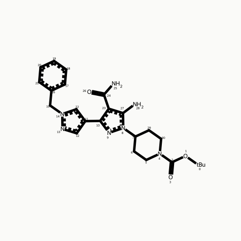 CC(C)(C)OC(=O)N1CCC(n2nc(-c3cnn(Cc4ccccc4)c3)c(C(N)=O)c2N)CC1